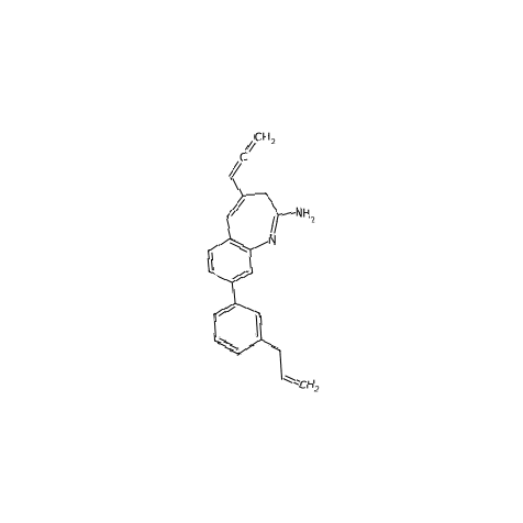 C=C=CC1=Cc2ccc(-c3cccc(CC=C)c3)cc2N=C(N)C1